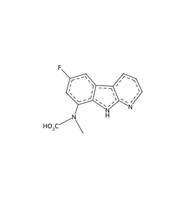 CN(C(=O)O)c1cc(F)cc2c1[nH]c1ncccc12